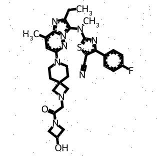 CCc1nc2c(C)cc(N3CCC4(CC3)CN(CC(=O)N3CC(O)C3)C4)nn2c1N(C)c1nc(-c2ccc(F)cc2)c(C#N)s1